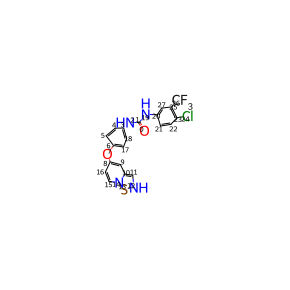 O=C(Nc1ccc(OC2=CC3=CNSN3C=C2)cc1)Nc1ccc(Cl)c(C(F)(F)F)c1